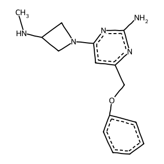 CNC1CN(c2cc(COc3ccccc3)nc(N)n2)C1